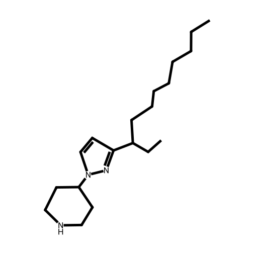 CCCCCCCCC(CC)c1ccn(C2CCNCC2)n1